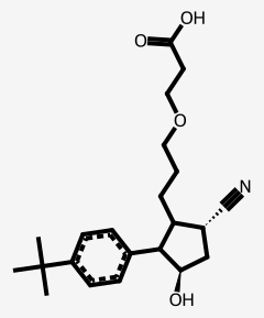 CC(C)(C)c1ccc(C2C(CCCOCCC(=O)O)[C@H](C#N)C[C@H]2O)cc1